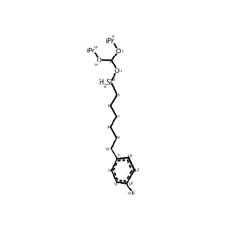 CC(C)OC(O[SiH2]CCCCCCc1ccc(F)cc1)OC(C)C